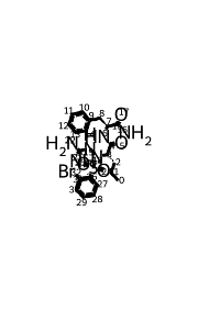 CCC[C@@H](C(=O)N[C@@H](Cc1ccccc1)C(N)=O)N(NC(=N)N)S(=O)(=O)c1ccccc1Br